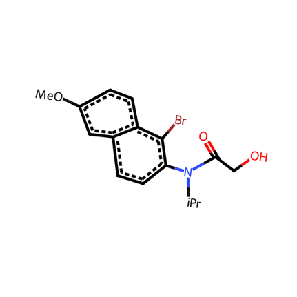 COc1ccc2c(Br)c(N(C(=O)CO)C(C)C)ccc2c1